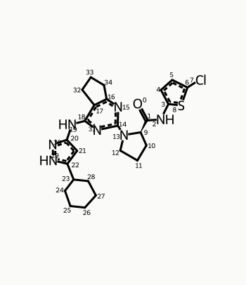 O=C(Nc1ccc(Cl)s1)[C@H]1CCCN1c1nc2c(c(Nc3cc(C4CCCCC4)[nH]n3)n1)CCC2